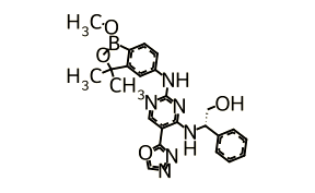 COB1OC(C)(C)c2cc(Nc3ncc(-c4nnco4)c(N[C@H](CO)c4ccccc4)n3)ccc21